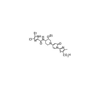 CCOC1CN(c2ccn(-c3nc(C)c(C(=O)O)s3)c(=O)c2)CCC1NC(=O)c1nc(Cl)c(CC)[nH]1